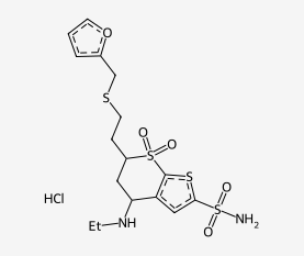 CCNC1CC(CCSCc2ccco2)S(=O)(=O)c2sc(S(N)(=O)=O)cc21.Cl